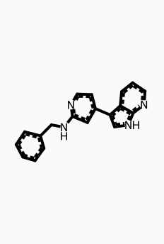 c1ccc(CNc2cc(-c3c[nH]c4ncccc34)ccn2)cc1